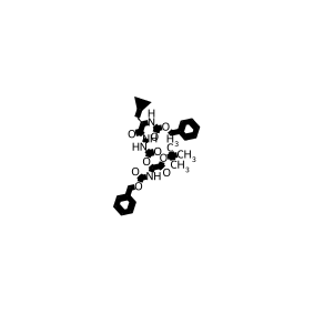 CC(C)(C)OC(=O)C(NC(=O)OCc1ccccc1)OC(=O)NNC(=O)[C@H](CC1CC1)NC(=O)OCc1ccccc1